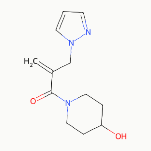 C=C(Cn1cccn1)C(=O)N1CCC(O)CC1